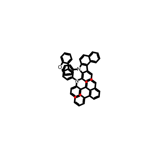 c1ccc(-c2cccc3cccc(-c4ccccc4N(c4ccc5oc6ccccc6c5c4)c4cccc5c6c7ccccc7ccc6n(-c6ccccc6)c45)c23)cc1